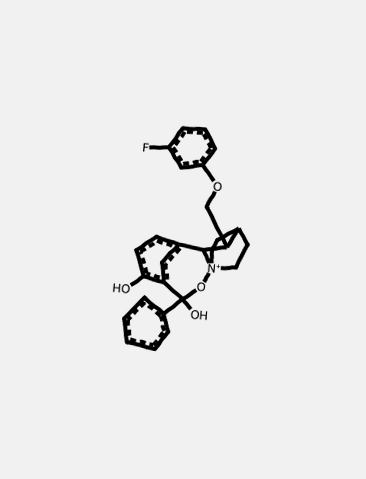 Oc1ccc2cc1C(O)(c1ccccc1)O[N+]13CCC(CC1)C(COc1cccc(F)c1)C23